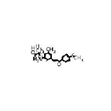 CSc1ccc(C(=O)/C=C/C2C=C(C)C(OC(C)(C)C(=O)O)=C(C)C2)cc1